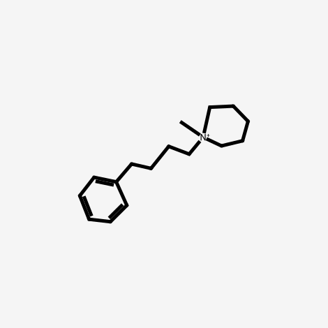 C[N+]1(CCCCc2ccccc2)CCCCC1